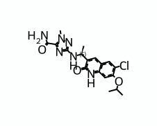 CC(C)Oc1cc2[nH]c(=O)c([C@H](C)Nc3nc(C(N)=O)n(C)n3)cc2cc1Cl